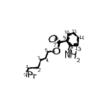 CC(C)CCCCCOC(=O)c1ccccc1N